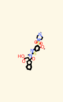 COc1cc2sc(N(C)C(=O)C3(CC(=O)O)Cc4ccccc4C3)nc2cc1S(=O)(=O)N1CCN(C)CC1